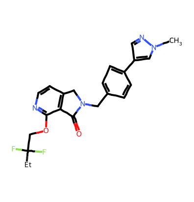 CCC(F)(F)COc1nccc2c1C(=O)N(Cc1ccc(-c3cnn(C)c3)cc1)C2